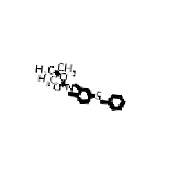 CC(C)(C)OC(=O)n1cc2ccc(SCc3ccccc3)cc2c1